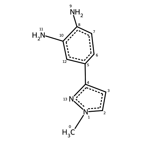 Cn1ccc(-c2ccc(N)c(N)c2)n1